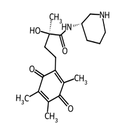 CC1=C(C)C(=O)C(CC[C@@](C)(O)C(=O)N[C@H]2CCCNC2)=C(C)C1=O